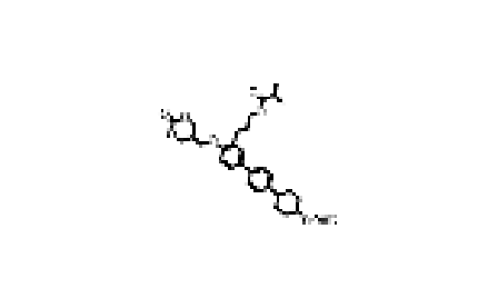 C=C(C)C(=O)OCCCc1cc(-c2ccc(C3CCC(CCCCC)CC3)cc2)ccc1OCC1COC(=O)OC1